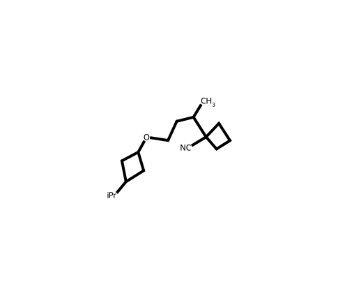 CC(C)C1CC(OCCC(C)C2(C#N)CCC2)C1